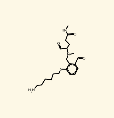 CNC(=O)CCC(C=O)N(C)Cc1c(C=O)cccc1SCCCCCCN